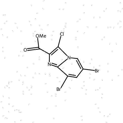 COC(=O)c1nc2c(Br)cc(Br)cn2c1Cl